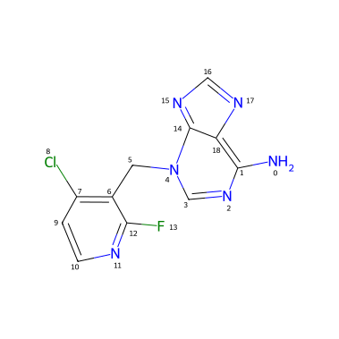 Nc1ncn(Cc2c(Cl)ccnc2F)c2ncnc1-2